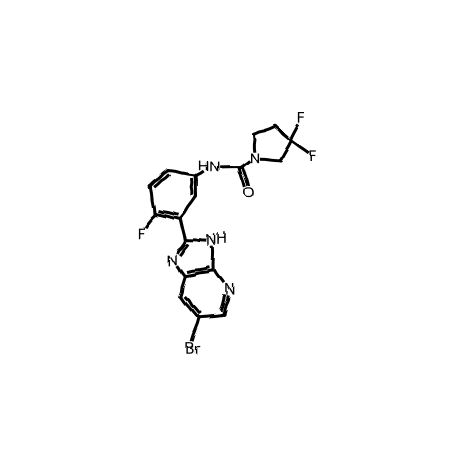 O=C(Nc1ccc(F)c(-c2nc3cc(Br)cnc3[nH]2)c1)N1CCC(F)(F)C1